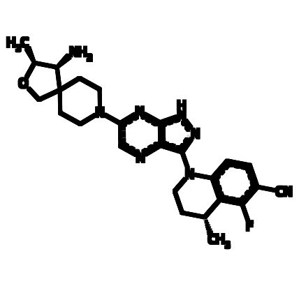 C[C@@H]1CCN(c2n[nH]c3nc(N4CCC5(CC4)CO[C@@H](C)[C@H]5N)cnc23)c2ccc(C#N)c(F)c21